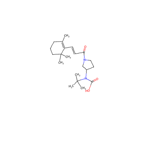 CC1=C(C=CC(=O)N2CCC(N(C(=O)O)C(C)(C)C)C2)C(C)(C)CCC1